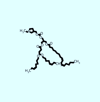 CC/C=C\CCCCOC(CCC(=O)OCC(COC(=O)CCCCCCC/C=C\C/C=C\CCCCC)COC(=O)OCC1CCN(CC)C1)OCCCC/C=C\CC